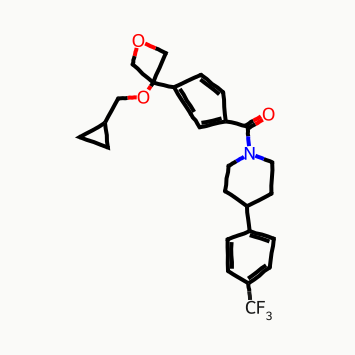 O=C(c1ccc(C2(OCC3CC3)COC2)cc1)N1CCC(c2ccc(C(F)(F)F)cc2)CC1